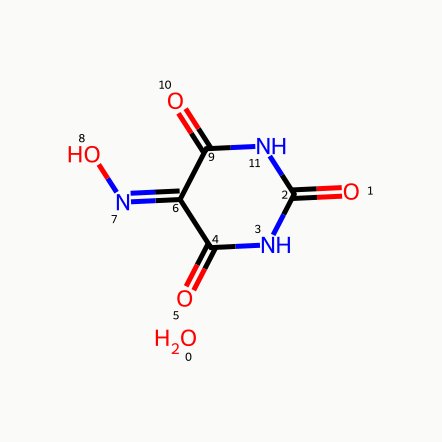 O.O=C1NC(=O)C(=NO)C(=O)N1